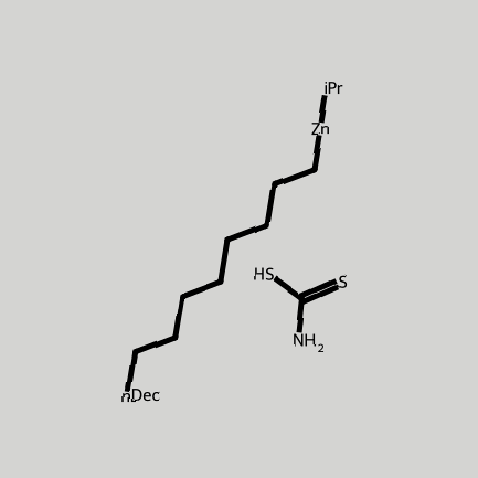 CCCCCCCCCCCCCCCCC[CH2][Zn][CH](C)C.NC(=S)S